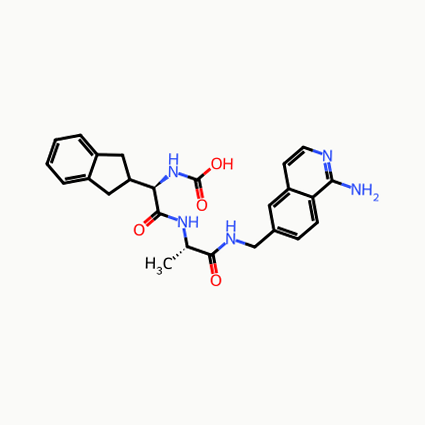 C[C@H](NC(=O)[C@H](NC(=O)O)C1Cc2ccccc2C1)C(=O)NCc1ccc2c(N)nccc2c1